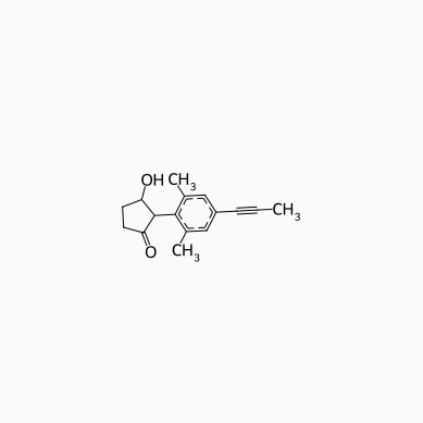 CC#Cc1cc(C)c(C2C(=O)CCC2O)c(C)c1